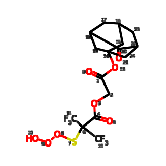 O=C(COC(=O)C(SOOO)(C(F)(F)F)C(F)(F)F)OC12CC3CC(C1)C(=O)C(C3)C2